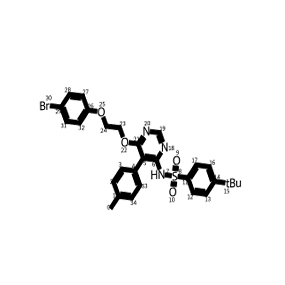 Cc1ccc(-c2c(NS(=O)(=O)c3ccc(C(C)(C)C)cc3)ncnc2OCCOc2ccc(Br)cc2)cc1